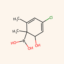 CC1=CC(Cl)=CC(O)C1(C)B(O)O